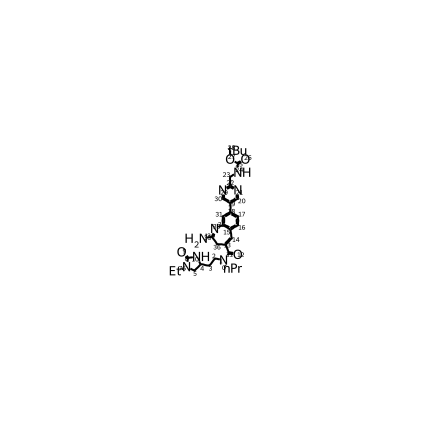 CCCN(CCC1CN(CC)C(=O)N1)C(=O)C1=Cc2ccc(-c3cnc(CNC(=O)OC(C)(C)C)nc3)cc2N=C(N)C1